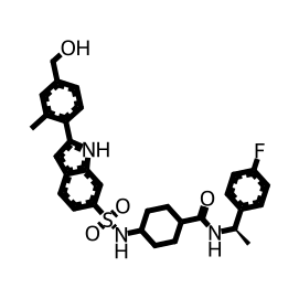 Cc1cc(CO)ccc1-c1cc2ccc(S(=O)(=O)NC3CCC(C(=O)N[C@H](C)c4ccc(F)cc4)CC3)cc2[nH]1